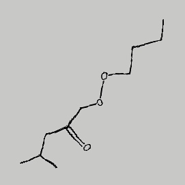 CCCCOOCC(=O)CC(C)C